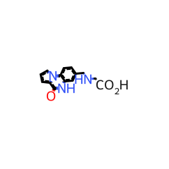 O=C(O)CNCc1ccc2c(c1)[nH]c(=O)c1cccn12